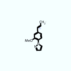 [CH2]/C=C/c1ccc(-n2cccn2)c(OC)c1